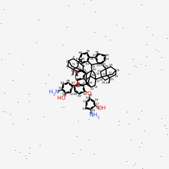 CC12CC3CC(C)(C1)CC(C1C4CC5CC(C67CC8CC(C)(CC(C)(C8)C6)C7)(C4)CC1(C1c4ccccc4-c4ccccc41)C5(c1ccccc1Oc1ccc(N)c(O)c1)c1ccccc1Oc1ccc(N)c(O)c1)(C3)C2